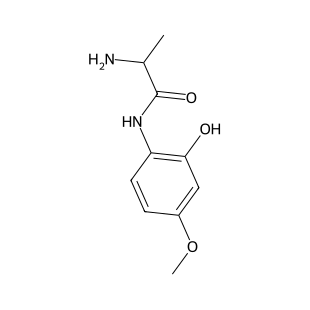 COc1ccc(NC(=O)C(C)N)c(O)c1